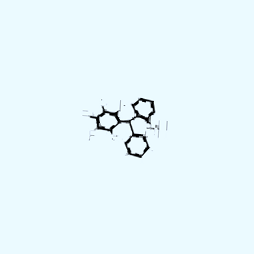 Oc1ccccc1C(c1ccccc1O)c1c(F)c(F)c(F)c(F)c1F